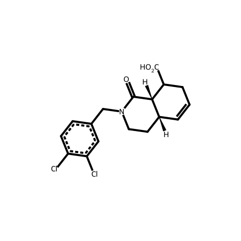 O=C(O)C1CC=C[C@@H]2CCN(Cc3ccc(Cl)c(Cl)c3)C(=O)[C@H]12